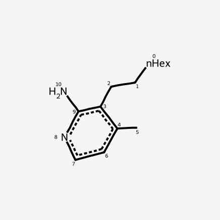 CCCCCCCCc1c(C)ccnc1N